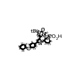 CN(NC(=O)c1cc(-c2ccc(Oc3ccccc3)cc2)nn1C1CCCN(C(=O)O)C1)C(=O)OC(C)(C)C